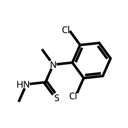 CNC(=S)N(C)c1c(Cl)cccc1Cl